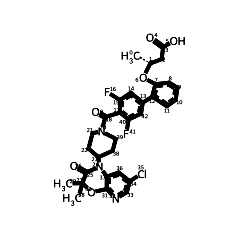 C[C@H](CC(=O)O)Oc1ccccc1-c1cc(F)c(C(=O)N2CCC(N3C(=O)C(C)(C)Oc4ncc(Cl)cc43)CC2)c(F)c1